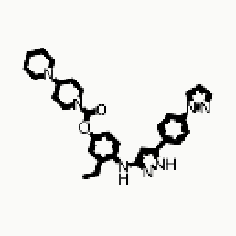 CCc1cc(OC(=O)N2CCC(N3CCCCC3)CC2)ccc1Nc1cc(-c2ccc(-n3cccn3)cc2)[nH]n1